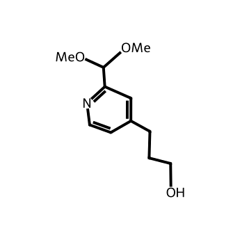 COC(OC)c1cc(CCCO)ccn1